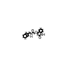 O=C(COc1nc(=O)[nH]c2ccccc12)NCC1CC2CCCC(C2)C1